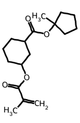 C=C(C)C(=O)OC1CCCC(C(=O)OC2(C)CCCC2)C1